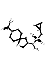 CN([C@H]1COC2(CCN(C(=O)O)CC2)C1)S(=O)(=O)CC1CC1